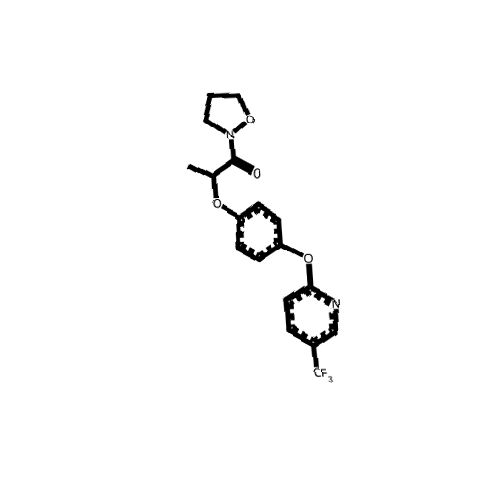 CC(Oc1ccc(Oc2ccc(C(F)(F)F)cn2)cc1)C(=O)N1CCCO1